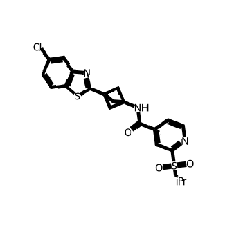 CC(C)S(=O)(=O)c1cc(C(=O)NC23CC(c4nc5cc(Cl)ccc5s4)(C2)C3)ccn1